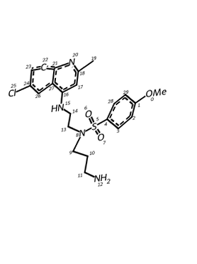 COc1ccc(S(=O)(=O)N(CCCN)CCNc2cc(C)nc3ccc(Cl)cc23)cc1